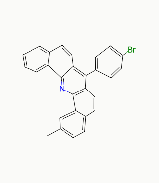 Cc1ccc2ccc3c(-c4ccc(Br)cc4)c4ccc5ccccc5c4nc3c2c1